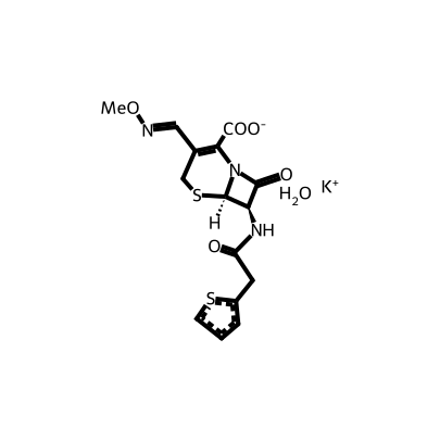 CO/N=C/C1=C(C(=O)[O-])N2C(=O)[C@@H](NC(=O)Cc3cccs3)[C@H]2SC1.O.[K+]